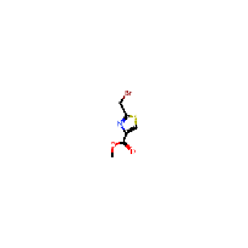 COC(=O)c1csc(CBr)n1